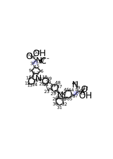 [C-]#[N+]/C(=C\c1ccc2c(c1)c1ccccc1n2-c1ccc2c(c1)Cc1cc(-n3c4ccccc4c4cc(/C=C(\C#N)C(=O)O)ccc43)ccc1-2)C(=O)O